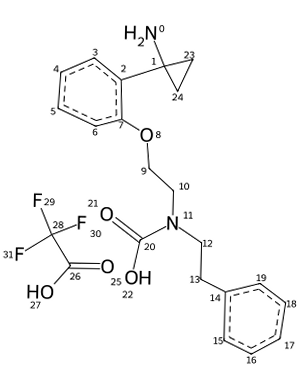 NC1(c2ccccc2OCCN(CCc2ccccc2)C(=O)O)CC1.O=C(O)C(F)(F)F